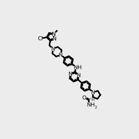 Cn1cc(Cl)c(CN2CCN(c3ccc(Nc4nccc(-c5ccc(N6CCC[C@@H]6C(N)=O)cc5)n4)cc3)CC2)n1